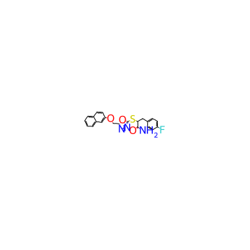 NC(=O)C(Cc1ccc(F)cc1)Sc1nnc(COc2ccc3ccccc3c2)o1